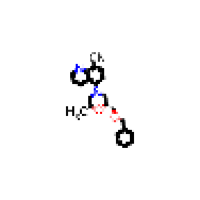 C[C@@H]1CN(c2ccc(C#N)c3ncccc23)C[C@H](COCc2ccccc2)O1